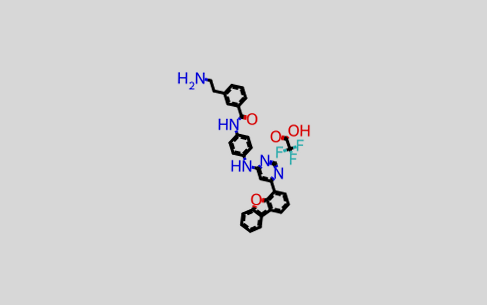 NCCc1cccc(C(=O)Nc2ccc(Nc3cc(-c4cccc5c4oc4ccccc45)ncn3)cc2)c1.O=C(O)C(F)(F)F